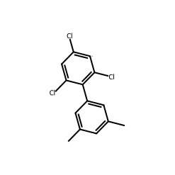 Cc1cc(C)cc(-c2c(Cl)[c]c(Cl)cc2Cl)c1